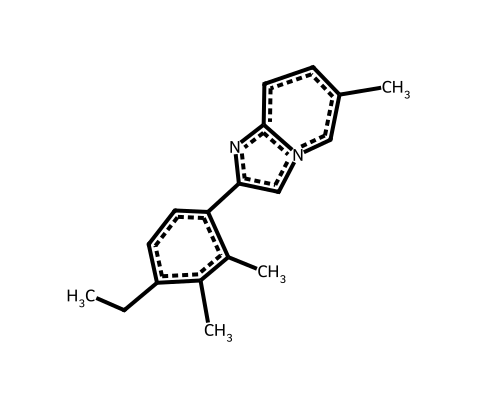 CCc1ccc(-c2cn3cc(C)ccc3n2)c(C)c1C